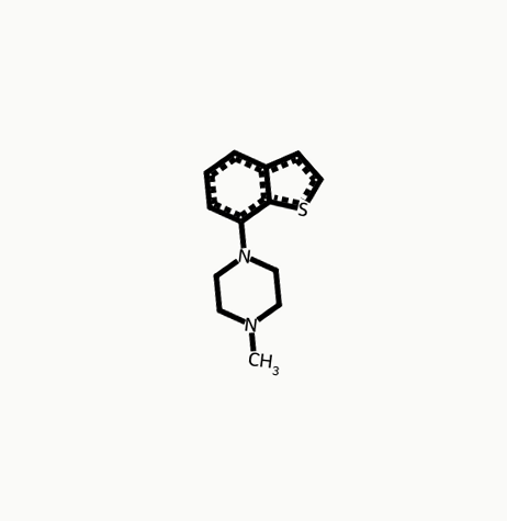 CN1CCN(c2cccc3ccsc23)CC1